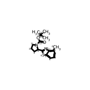 Cc1cccc2sc(C3CCCN3C(=O)OC(C)(C)C)nc12